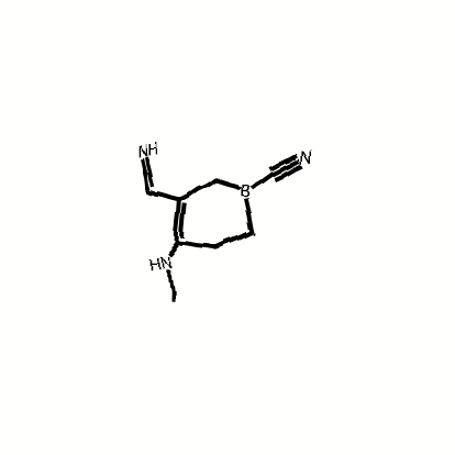 CNC1=C(C=N)CB(C#N)CC1